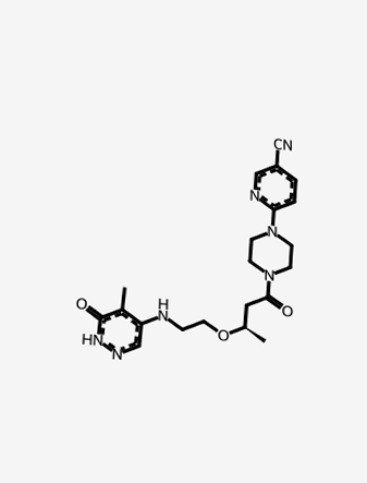 Cc1c(NCCO[C@H](C)CC(=O)N2CCN(c3ccc(C#N)cn3)CC2)cn[nH]c1=O